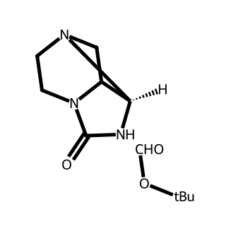 CC(C)(C)OC=O.O=C1N[C@H]2C3CN2CCN13